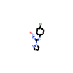 [O-][n+]1nc(-n2cccn2)nc2ccc(Cl)cc21